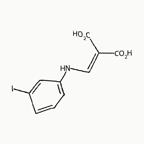 O=C(O)C(=CNc1cccc(I)c1)C(=O)O